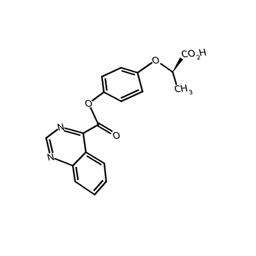 C[C@@H](Oc1ccc(OC(=O)c2ncnc3ccccc23)cc1)C(=O)O